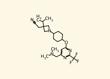 CC(C)C1(CC#N)CN(C2CCC(Oc3cc(CN(C)C)nc(C(F)(F)F)n3)CC2)C1